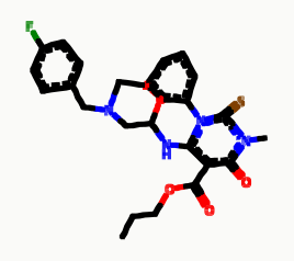 CCCOC(=O)c1c(NC2CN(Cc3ccc(F)cc3)CCO2)n(-c2ccccc2)c(=S)n(C)c1=O